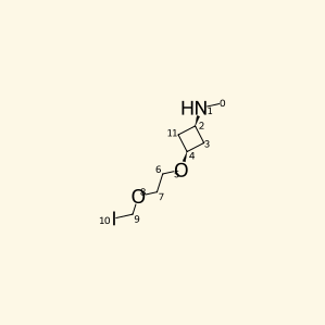 CN[C@H]1C[C@@H](OCCOCI)C1